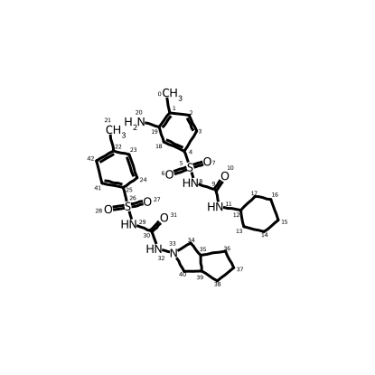 Cc1ccc(S(=O)(=O)NC(=O)NC2CCCCC2)cc1N.Cc1ccc(S(=O)(=O)NC(=O)NN2CC3CCCC3C2)cc1